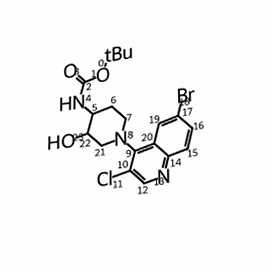 CC(C)(C)OC(=O)NC1CCN(c2c(Cl)cnc3ccc(Br)cc23)CC1O